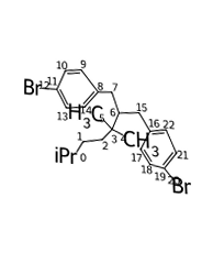 CC(C)CCC(C)(C)C(Cc1ccc(Br)cc1)Cc1ccc(Br)cc1